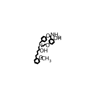 COc1ccccc1CCCC(O)CN(CCOc1ccc(O)c(C(N)=O)c1)Cc1ccccc1